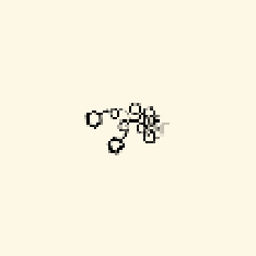 COC1O[C@@H](COCc2ccccc2)[C@@H](OCc2ccccc2)[C@@H]1OS(=O)(=O)C(F)(F)F